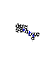 c1ccc(N(c2cnc(-c3ccc4c(c3)c3ccccc3n4-c3ccc4c(c3)C(c3ccccc3)(c3ccccc3)c3ccccc3-4)nc2)c2ccc3ccccc3c2)cc1